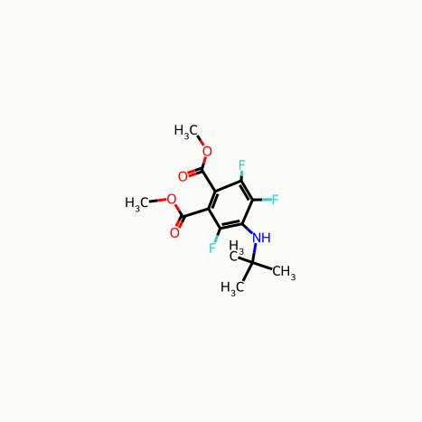 COC(=O)c1c(F)c(F)c(NC(C)(C)C)c(F)c1C(=O)OC